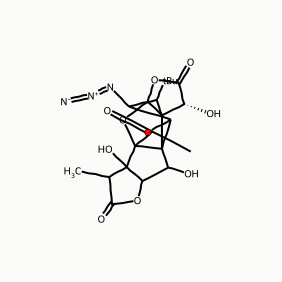 CC1C(=O)OC2C(O)C34C5OC(=O)C3(OC3OC(=O)[C@H](O)C34C(C(C)(C)C)C5N=[N+]=[N-])C12O